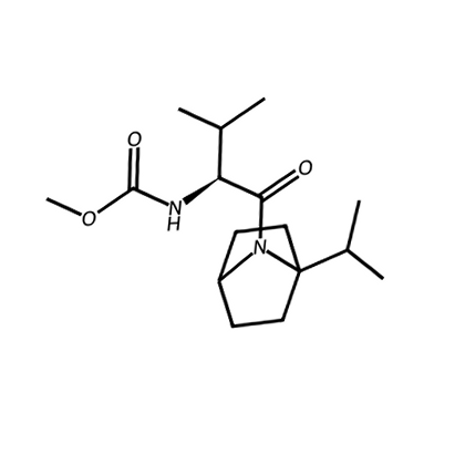 COC(=O)N[C@H](C(=O)N1C2CCC1(C(C)C)CC2)C(C)C